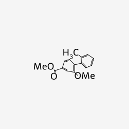 COC(=O)c1ccc(-c2ccccc2C)c(OC)c1